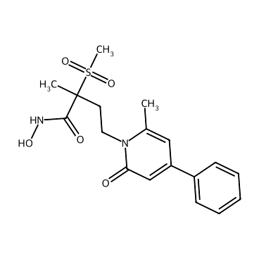 Cc1cc(-c2ccccc2)cc(=O)n1CCC(C)(C(=O)NO)S(C)(=O)=O